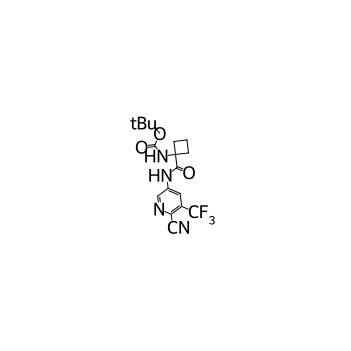 CC(C)(C)OC(=O)NC1(C(=O)Nc2cnc(C#N)c(C(F)(F)F)c2)CCC1